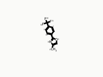 Cc1coc(-c2ccc(C(F)(F)F)cc2)n1